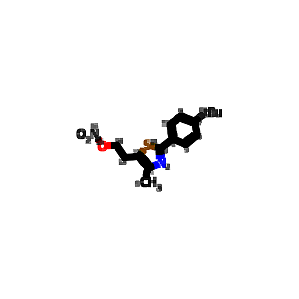 Cc1nc(-c2ccc(C(C)(C)C)cc2)sc1CCO[N+](=O)[O-]